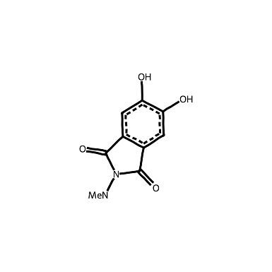 CNN1C(=O)c2cc(O)c(O)cc2C1=O